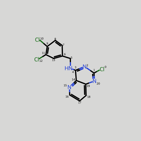 Clc1nc(NCc2ccc(Cl)c(Cl)c2)c2ncccc2n1